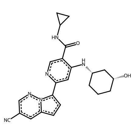 N#Cc1cnn2c(-c3cc(N[C@H]4CCC[C@@H](O)C4)c(C(=O)NC4CC4)cn3)ccc2c1